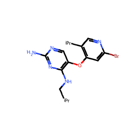 CC(C)CNc1nc(N)ncc1Oc1cc(Br)ncc1C(C)C